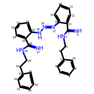 N=C(NCCc1ccccc1)c1ccccc1/N=N/Nc1ccccc1C(=N)NCCc1ccccc1